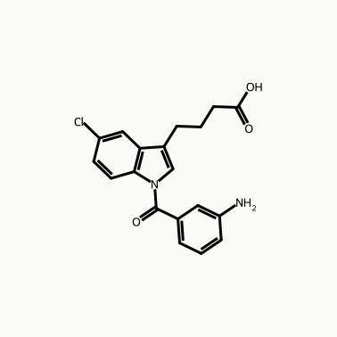 Nc1cccc(C(=O)n2cc(CCCC(=O)O)c3cc(Cl)ccc32)c1